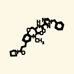 CN1C(=O)C(NC(=O)c2ncn(Cc3ccccc3)n2)COc2ccc(CCC(=O)N3CCCC3)cc21